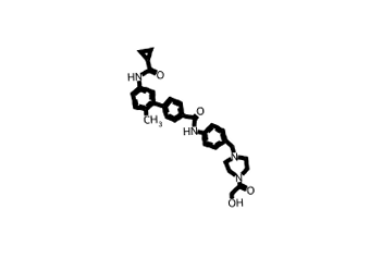 Cc1ccc(NC(=O)C2CC2)cc1-c1ccc(C(=O)Nc2ccc(CN3CCN(C(=O)CO)CC3)cc2)cc1